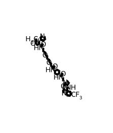 CN1C(=O)C[C@H](C(=O)NCCCOCCCOCCC(=O)N[C@H]2CC[C@@H](C(=O)NCCN3CC[C@H](Nc4ncnc5ccc(C(F)(F)F)cc45)C3=O)CC2)[C@H]1c1cccnc1